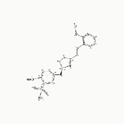 CCOc1ccccc1OCC1=N[C@@H](Cc2ccc(OC)c(S(N)(=O)=O)c2)CS1